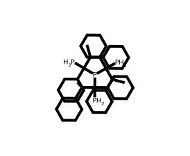 CC(C1CCCCC1)C(P)(C1CCCCC1)P(C(P)(C1CCCCC1)C(C)C1CCCCC1)C(P)(C1CCCCC1)C(C)C1CCCCC1